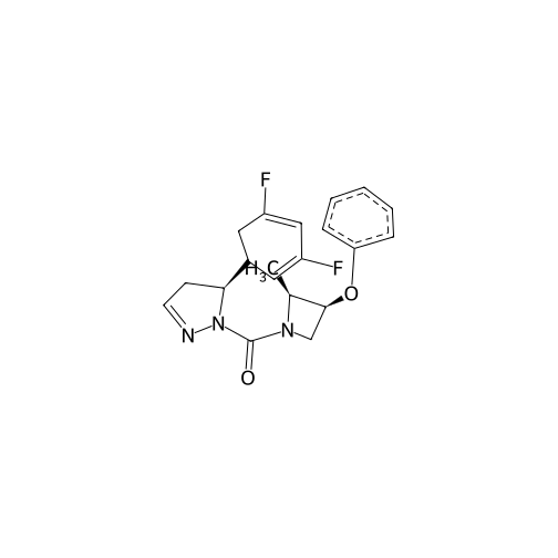 C[C@H]1[C@@H](Oc2ccccc2)CN1C(=O)N1N=CC[C@H]1C1C=C(F)C=C(F)C1